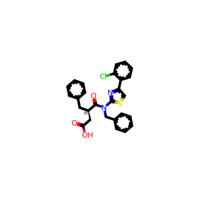 O=C(O)C[C@@H](Cc1ccccc1)C(=O)N(Cc1ccccc1)c1nc(-c2ccccc2Cl)cs1